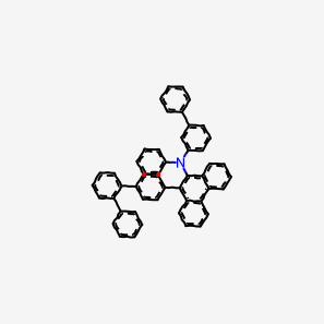 c1ccc(-c2cccc(N(c3ccccc3)c3c(-c4ccc(-c5ccccc5-c5ccccc5)cc4)c4ccccc4c4ccccc34)c2)cc1